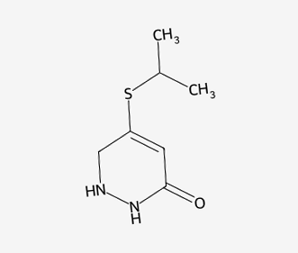 CC(C)SC1=CC(=O)NNC1